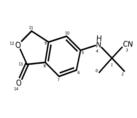 CC(C)(C#N)Nc1ccc2c(c1)COC2=O